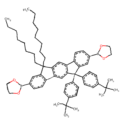 CCCCCCCCC1(CCCCCCCC)c2cc(B3OCCO3)ccc2-c2cc3c(cc21)-c1ccc(B2OCCO2)cc1C3(c1ccc(C(C)(C)C)cc1)c1ccc(C(C)(C)C)cc1